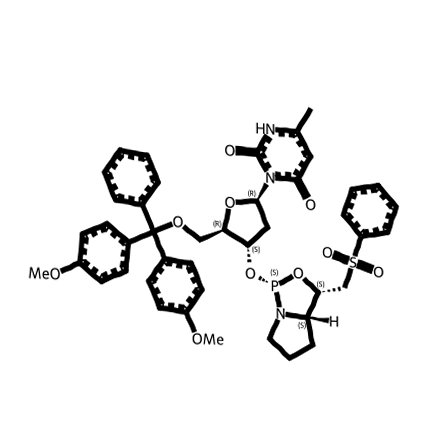 COc1ccc(C(OC[C@H]2O[C@@H](n3c(=O)cc(C)[nH]c3=O)C[C@@H]2O[P@]2O[C@H](CS(=O)(=O)c3ccccc3)[C@@H]3CCCN32)(c2ccccc2)c2ccc(OC)cc2)cc1